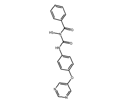 O=C(Nc1ccc(Oc2cncnc2)cc1)N(S)C(=O)c1ccccc1